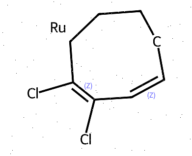 ClC1=C(\Cl)CCCC/C=C\1.[Ru]